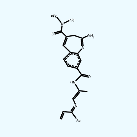 C=C/C(=N\C=C(/C)NC(=O)c1ccc2c(c1)N=C(N)CC(C(=O)N(CCC)CCC)=C2)C(C)=O